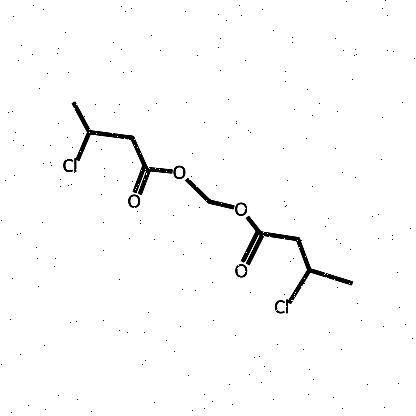 CC(Cl)CC(=O)OCOC(=O)CC(C)Cl